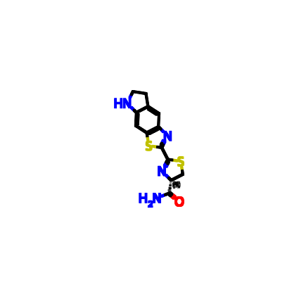 NC(=O)[C@H]1CSC(c2nc3cc4c(cc3s2)NCC4)=N1